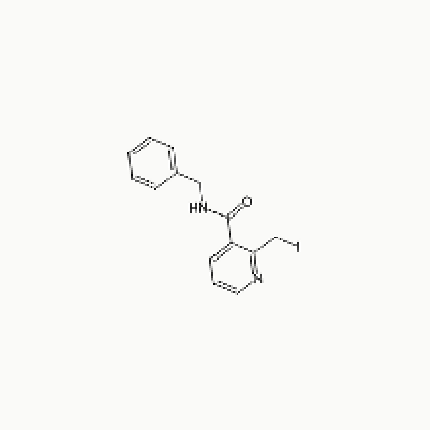 O=C(NCc1ccccc1)c1cccnc1CI